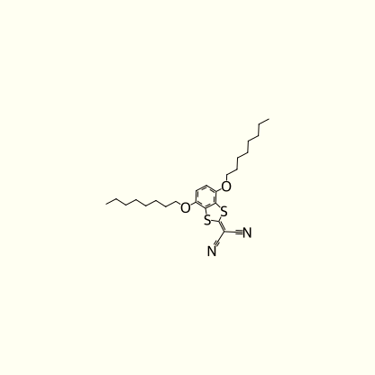 CCCCCCCCOc1ccc(OCCCCCCCC)c2c1SC(=C(C#N)C#N)S2